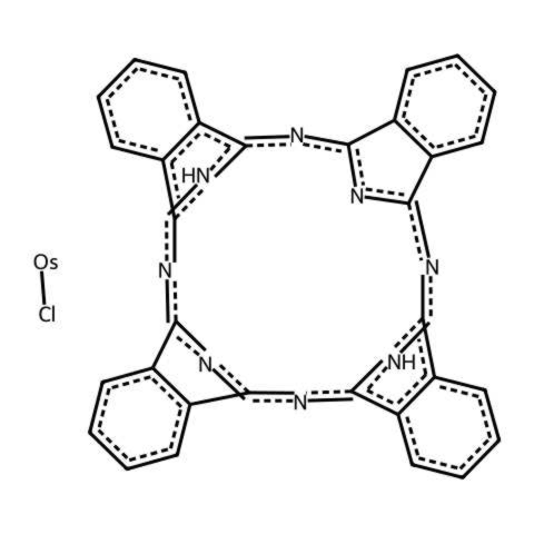 [Cl][Os].c1ccc2c(c1)-c1nc-2nc2[nH]c(nc3nc(nc4[nH]c(n1)c1ccccc41)-c1ccccc1-3)c1ccccc21